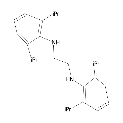 CC(C)C1=C(NCCNc2c(C(C)C)cccc2C(C)C)C(C(C)C)CC=C1